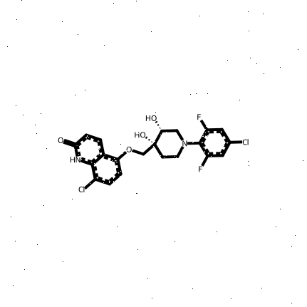 O=c1ccc2c(OC[C@]3(O)CCN(c4c(F)cc(Cl)cc4F)C[C@H]3O)ccc(Cl)c2[nH]1